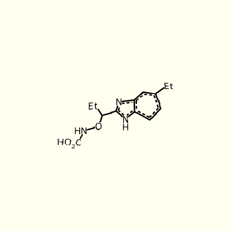 CCc1ccc2[nH]c(C(CC)ONC(=O)O)nc2c1